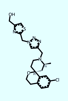 C[C@H]1C[C@@]2(CCN1Cc1cn(Cc3nc(CO)cs3)nn1)OCCc1ccc(Cl)cc12